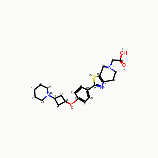 O=C(O)CN1CCc2nc(-c3ccc(OC4CC(N5CCCCC5)C4)cc3)sc2C1